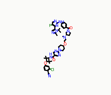 Cc1ncc(-c2nc(Nc3ccc(C(=O)N4CC[C@H](N(C)CCOC5CCN(c6ncc(C(=O)N[C@H]7C(C)(C)[C@H](Oc8ccc(C#N)c(Cl)c8)C7(C)C)cn6)CC5)C4)cc3)ncc2F)n1C(C)C